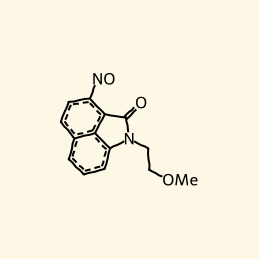 COCCN1C(=O)c2c(N=O)ccc3cccc1c23